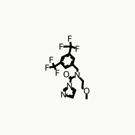 COCCN(Cc1cc(C(F)(F)F)cc(C(F)(F)F)c1)C(=O)n1ccnc1